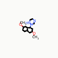 COc1cc(N2C=NC=CN2)c2cc(OC)ccc2c1